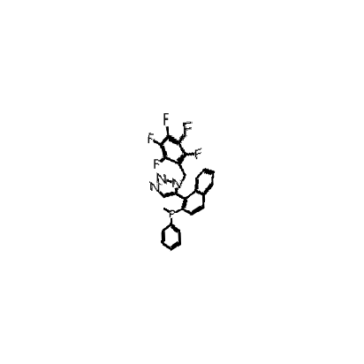 CP(c1ccccc1)c1ccc2ccccc2c1-c1cnnn1Cc1c(F)c(F)c(F)c(F)c1F